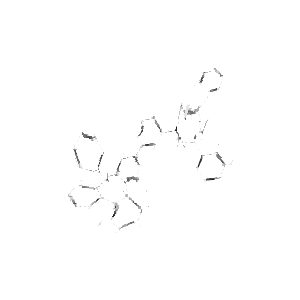 c1ccc(-c2nc(-c3ccccc3)nc(-c3cccc(-c4ccc5c(c4)N(c4ccccc4)c4ccccc4-c4ccccc4-5)c3)n2)cc1